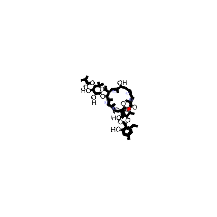 CCc1cc(C)cc(O)c1C(=O)OC1C(C)OC(OC/C2=C\C=C\CC(O)/C(C)=C/C(CC)C(OC3OC(C)(C)C(OC(=O)C(C)C)C(O)C3O)/C(C)=C/C(C)=C/CC(CC)OC2=O)C(OC)C1O